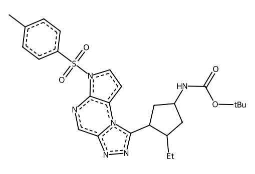 CCC1CC(NC(=O)OC(C)(C)C)CC1c1nnc2cnc3c(ccn3S(=O)(=O)c3ccc(C)cc3)n12